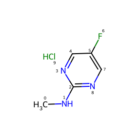 CNc1ncc(F)cn1.Cl